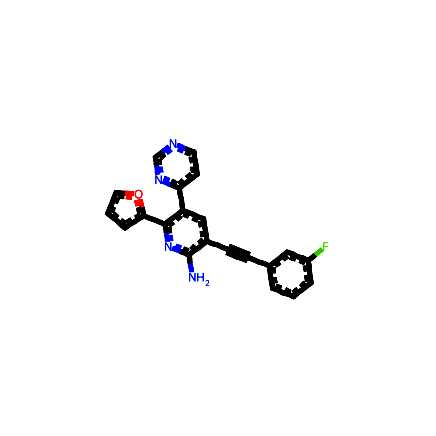 Nc1nc(-c2ccco2)c(-c2ccncn2)cc1C#Cc1cccc(F)c1